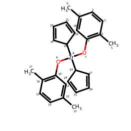 Cc1ccc(C)c([O][Zr]([O]c2cc(C)ccc2C)([CH]2C=CC=C2)[CH]2C=CC=C2)c1